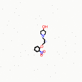 O=[N+]([O-])c1ccccc1OC/C=C\CN1CCC(O)CC1